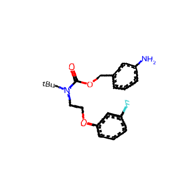 CC(C)(C)N(CCOc1cccc(F)c1)C(=O)OCc1cccc(N)c1